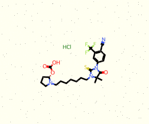 CC1(C)C(=O)N(c2ccc(C#N)c(C(F)(F)F)c2)C(=S)N1CCCCCCCN1CCC[C@@H]1OC(=O)O.Cl